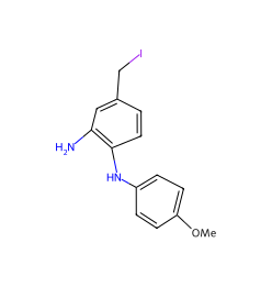 COc1ccc(Nc2ccc(CI)cc2N)cc1